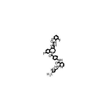 Cc1cc(CNc2ncccc2C(=O)Nc2ccc(C(=O)N3CCc4cc(C(=O)Nc5c(F)cccc5F)sc4-c4ccc(F)cc43)cc2)on1